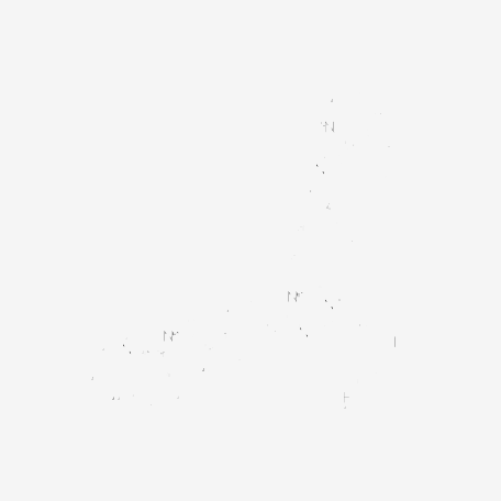 Fc1cc(F)cc(-c2nc(-c3ccc(-c4cnc5c(ccc6cccnc65)c4)cc3)nc(-c3ccc(-c4cnc5c(ccc6cccnc65)c4)cc3)n2)c1